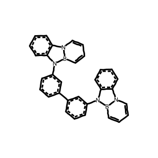 C1=CB2N(C=C1)c1ccccc1N2c1cccc(-c2cccc(N3B4C=CC=CN4c4ccccc43)c2)c1